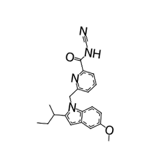 CCC(C)c1cc2cc(OC)ccc2n1Cc1cccc(C(=O)NC#N)n1